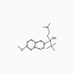 COc1ccc2cc(C(O)(CCN(C)C)C(C)(C)C)ccc2c1